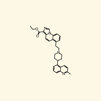 CCOC(=O)c1ncn2c1ccc1c(CCN3CCC(c4cccc5nc(C)ccc45)CC3)cccc12